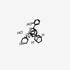 Cl.Nc1nnc(-c2ccccc2O)cc1N1C[C@H]2CC[C@@H](C1)N2c1cccc(OC2CCNCC2)c1